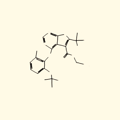 CCOC(=O)c1c(C(C)(C)C)sc2ncnc(Oc3c(F)cccc3OC(F)(F)F)c12